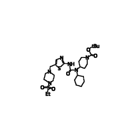 CCS(=O)(=O)N1CCN(Cc2cnc(NC(=O)N(C3CCCCC3)C3CCN(C(=O)OC(C)(C)C)CC3)s2)CC1